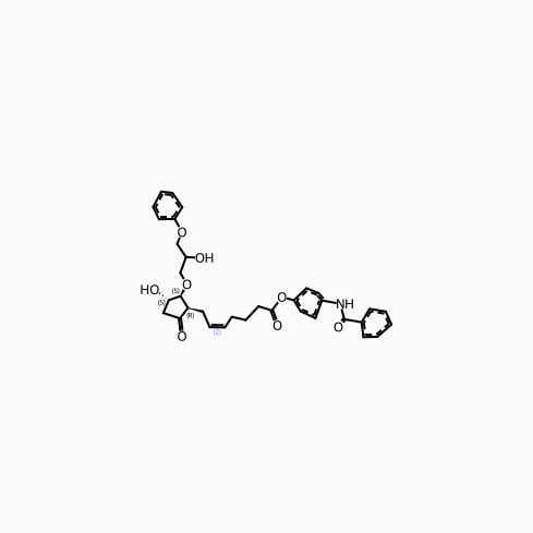 O=C(CCC/C=C\C[C@H]1C(=O)C[C@H](O)[C@H]1OCC(O)COc1ccccc1)Oc1ccc(NC(=O)c2ccccc2)cc1